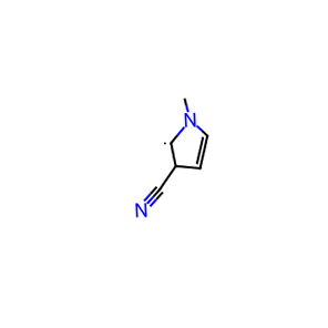 CN1[CH]C(C#N)C=C1